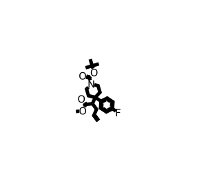 C=CCC(C(=O)OC)C1(c2ccc(F)cc2)CCN(C(=O)OC(C)(C)C)CC1